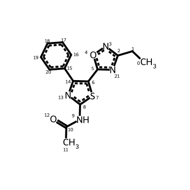 CCc1noc(-c2sc(NC(C)=O)nc2-c2ccccc2)n1